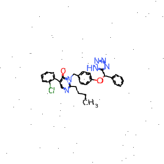 CCCCc1ncc(-c2ccccc2Cl)c(=O)n1Cc1ccc(OC(c2ccccc2)c2nnn[nH]2)cc1